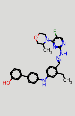 CCc1cc(Nc2ccc(-c3cccc(O)c3)cc2)ccc1/C=N/Nc1ncc(F)c(N2CCOCC2C)n1